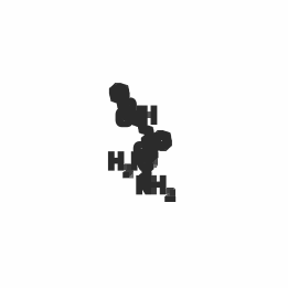 NCCCC[C@@H](Cc1ccc(CCCCNC(=O)OCc2ccccc2)c2c1CCCC2)C(N)=O